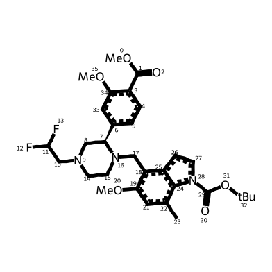 COC(=O)c1ccc([C@@H]2CN(CC(F)F)CCN2Cc2c(OC)cc(C)c3c2ccn3C(=O)OC(C)(C)C)cc1OC